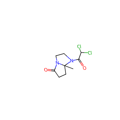 CC12CCC(=O)N1CCN2C(=O)C(Cl)Cl